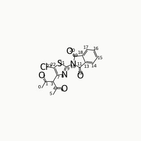 CC(=O)C(C(C)=O)c1nc(N2C(=O)c3ccccc3C2=O)sc1Cl